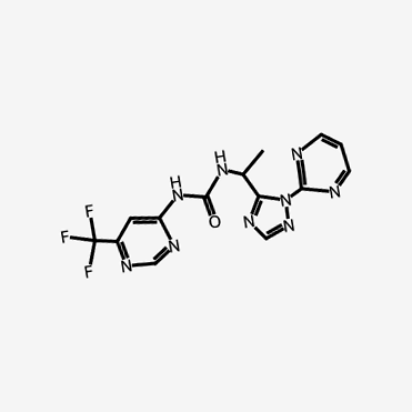 CC(NC(=O)Nc1cc(C(F)(F)F)ncn1)c1ncnn1-c1ncccn1